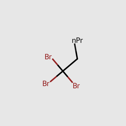 CCCCC(Br)(Br)Br